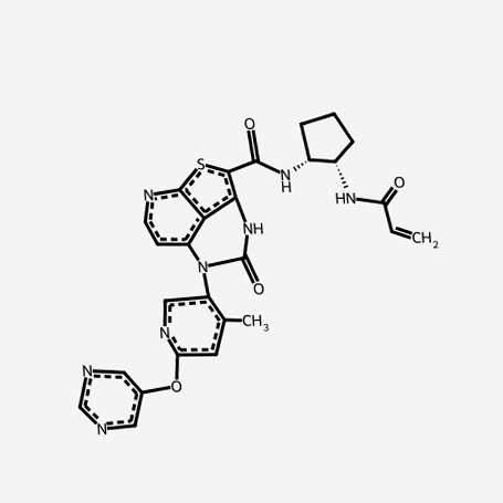 C=CC(=O)N[C@H]1CCC[C@H]1NC(=O)c1sc2nccc3c2c1NC(=O)N3c1cnc(Oc2cncnc2)cc1C